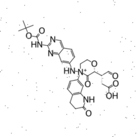 CC(C)(C)OC(=O)Nc1ncc2ccc(N[N+]3(c4ccc5c(c4)NC(=O)CC5)CCO[C@H]([C@H](C=O)CC(=O)O)C3=O)cc2n1